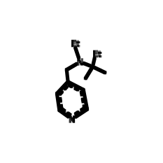 CCN(Cc1ccncc1)C(C)(C)CC